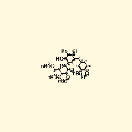 CCCCOC[C@H]1O[C@@H](c2cc(Cc3ccc(OCC)cc3)c(Cl)c(Br)c2O)[C@H](OCCCC)[C@@H](OCCCC)[C@@H]1OCCCC